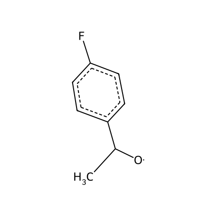 CC([O])c1ccc(F)cc1